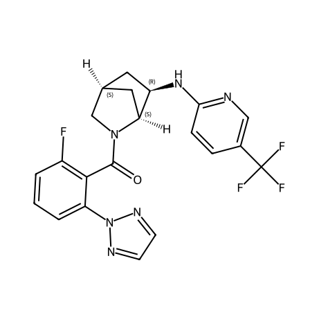 O=C(c1c(F)cccc1-n1nccn1)N1C[C@H]2C[C@@H](Nc3ccc(C(F)(F)F)cn3)[C@@H]1C2